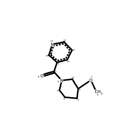 COC1CCCN(C(=O)c2cc[c]nc2)C1